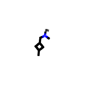 CC1CC(CN(C)C(C)C)C1